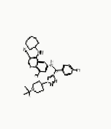 CC(C)(C)N1CCC(n2cc([C@@H](Nc3cc(Cl)c4ncc(C#N)c(NC5CCCCCC5)c4c3)c3ccc(Cl)cc3)nn2)CC1